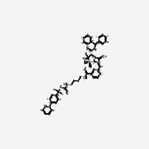 CC(C)(OC(=O)NCCCCNC(=O)c1ccnc(/C=C2/C(=O)N3C2S(=O)(=O)C(C)(C)[C@@H]3C(=O)OC(c2ccccc2)c2ccccc2)c1)c1ccc(-c2ccccc2)cc1